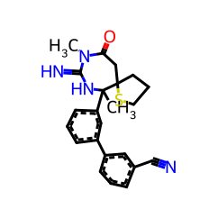 CN1C(=N)NC(C)(c2cccc(-c3cccc(C#N)c3)c2)C2(CCCS2)CC1=O